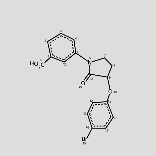 O=C(O)c1cccc(N2CCC(Oc3ccc(Br)cc3)C2=O)c1